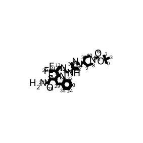 CC(C)(C)OC(=O)N1CCC(n2cc(Nc3ncc(C(F)(F)F)c(C(CC(N)=O)Cc4ccccc4)n3)cn2)CC1